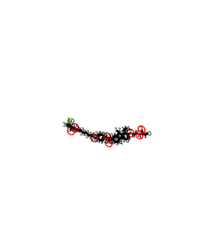 C=CC(=O)OCCOc1ccc2c(c1CC)C(C)c1cc(C(=O)Oc3ccc(OCCCCCCOC(=O)C(=C)F)cc3)ccc1-2